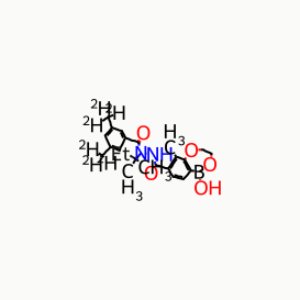 [2H]C([2H])([2H])c1cc(C(=O)N(NC(=O)c2ccc3c(c2C)OCCOB3O)C(C)(C)CC)cc(C([2H])([2H])[2H])c1